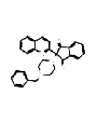 O=C1c2ccccc2C(=O)C1(c1ccc2ccccc2n1)N1CCN(Cc2ccccc2)CC1